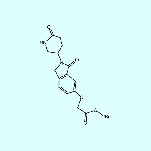 CC(C)(C)OC(=O)COc1ccc2c(c1)C(=O)N(C1CCC(=O)NC1)C2